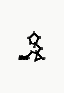 CSCC1(CN2CCCC2)CC1